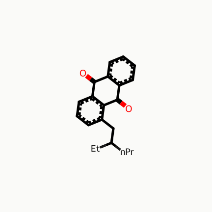 CCCC(CC)Cc1cccc2c1C(=O)c1ccccc1C2=O